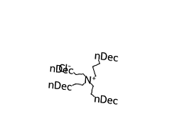 CCCCCCCCCCCCC[N+](CCCCCCCCCCCC)(CCCCCCCCCCCC)CCCCCCCCCCCC.[Cl-]